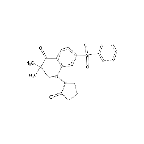 CC1(C)CN(N2CCCC2=O)c2cc(S(=O)(=O)c3ccccc3)ccc2C1=O